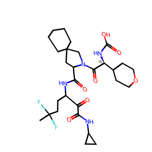 CC(F)(F)CCC(NC(=O)C1CC2(CCCCC2)CN1C(=O)[C@@H](NC(=O)O)C1CCOCC1)C(=O)C(=O)NC1CC1